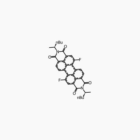 CCCC[C@H](C)N1C(=O)c2ccc3c4c(F)cc5c6c(ccc(c7c(F)cc(c2c37)C1=O)c64)C(=O)N([C@@H](C)CCCC)C5=O